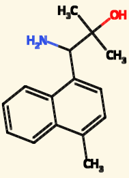 Cc1ccc(C(N)C(C)(C)O)c2ccccc12